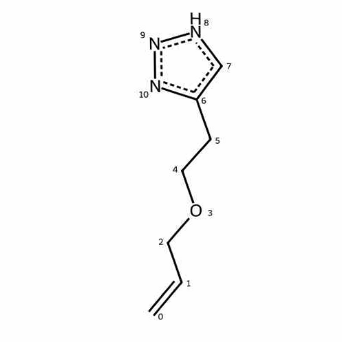 C=CCOCCc1c[nH]nn1